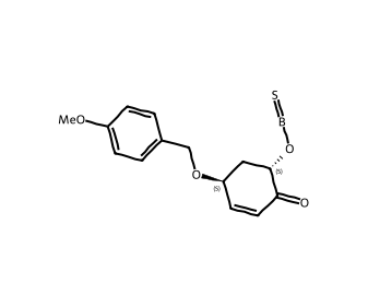 COc1ccc(CO[C@@H]2C=CC(=O)[C@@H](OB=S)C2)cc1